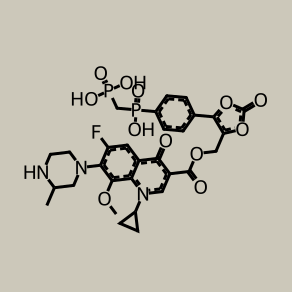 COc1c(N2CCNC(C)C2)c(F)cc2c(=O)c(C(=O)OCc3oc(=O)oc3-c3ccc(P(=O)(O)CP(=O)(O)O)cc3)cn(C3CC3)c12